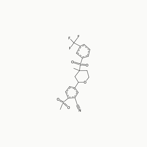 CC1(S(=O)(=O)c2cccc(C(F)(F)F)c2)CCOC(c2ccc(S(C)(=O)=O)c(C#N)c2)C1